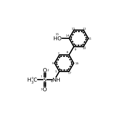 CS(=O)(=O)Nc1ccc(-c2[c]cccc2O)cc1